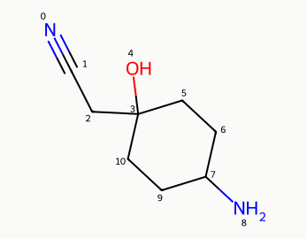 N#CCC1(O)CCC(N)CC1